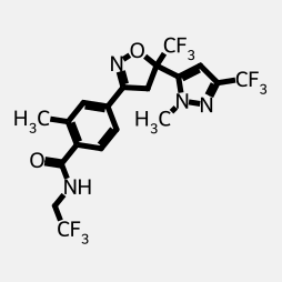 Cc1cc(C2=NOC(c3cc(C(F)(F)F)nn3C)(C(F)(F)F)C2)ccc1C(=O)NCC(F)(F)F